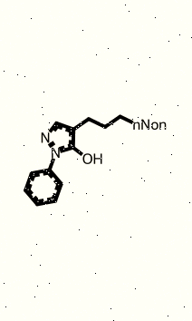 CCCCCCCCCCCCc1cnn(-c2ccccc2)c1O